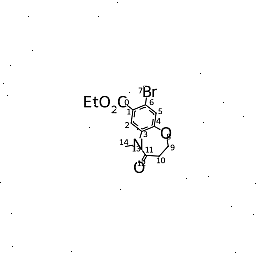 CCOC(=O)c1cc2c(cc1Br)OCCC(=O)N2C